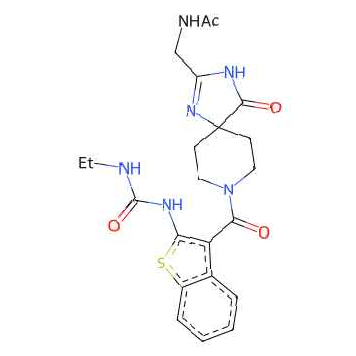 CCNC(=O)Nc1sc2ccccc2c1C(=O)N1CCC2(CC1)N=C(CNC(C)=O)NC2=O